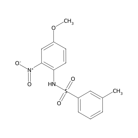 COc1ccc(NS(=O)(=O)c2cccc(C)c2)c([N+](=O)[O-])c1